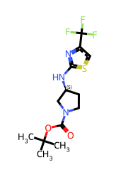 CC(C)(C)OC(=O)N1CC[C@H](Nc2nc(C(F)(F)F)cs2)C1